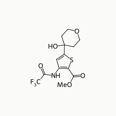 COC(=O)c1sc(C2(O)CCOCC2)cc1NC(=O)C(F)(F)F